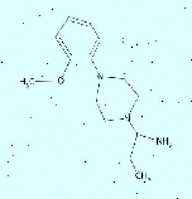 CCC(N)N1CCN(c2ccccc2OC)CC1